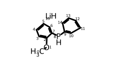 COc1ccccc1Pc1ccccc1.[LiH]